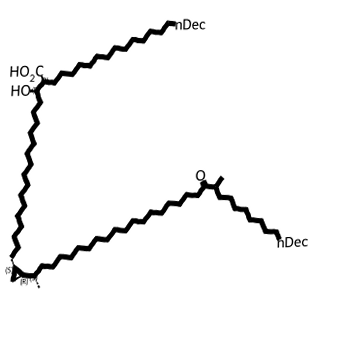 CCCCCCCCCCCCCCCCCCCCCCCC[C@@H](C(=O)O)[C@H](O)CCCCCCCCCCCCCCCC[C@H]1C[C@@H]1[C@@H](C)CCCCCCCCCCCCCCCCCCC(=O)C(C)CCCCCCCCCCCCCCCCCC